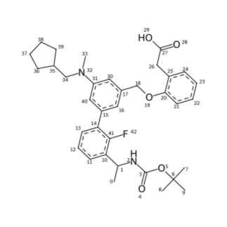 CC(NC(=O)OC(C)(C)C)c1cccc(-c2cc(COc3ccccc3CC(=O)O)cc(N(C)CC3CCCC3)c2)c1F